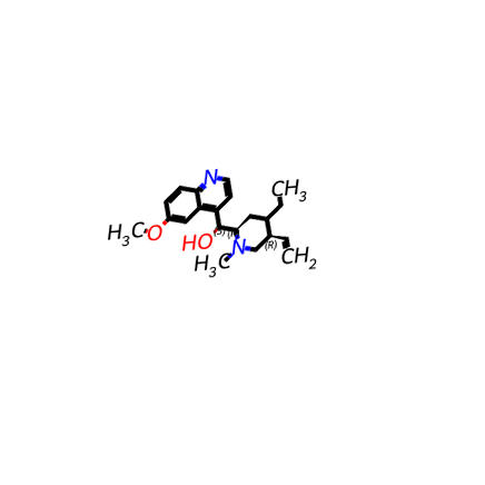 C=C[C@H]1CN(C)[C@@H]([C@@H](O)c2ccnc3ccc(OC)cc23)CC1CC